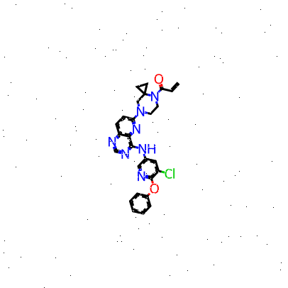 C=CC(=O)N1CCN(c2ccc3ncnc(Nc4cnc(Oc5ccccc5)c(Cl)c4)c3n2)CC12CC2